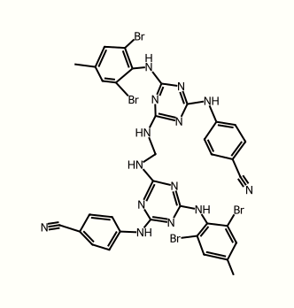 Cc1cc(Br)c(Nc2nc(NCNc3nc(Nc4ccc(C#N)cc4)nc(Nc4c(Br)cc(C)cc4Br)n3)nc(Nc3ccc(C#N)cc3)n2)c(Br)c1